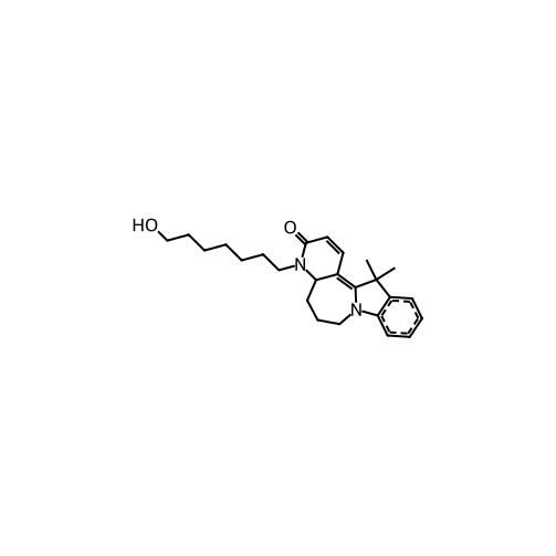 CC1(C)C2=C3C=CC(=O)N(CCCCCCCO)C3CCCN2c2ccccc21